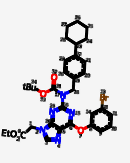 CCOC(=O)Cn1cnc2c(Oc3cccc(Br)c3)nc(N(Cc3ccc(C4CCCCC4)cc3)C(=O)OC(C)(C)C)nc21